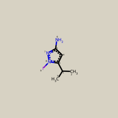 CC(C)c1cc(N)nn1I